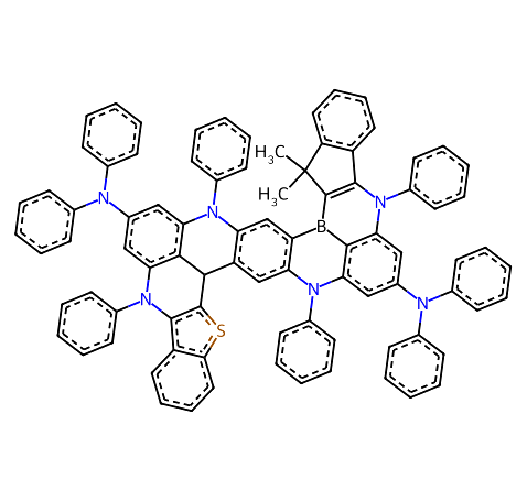 CC1(C)C2=C(c3ccccc31)N(c1ccccc1)c1cc(N(c3ccccc3)c3ccccc3)cc3c1B2c1cc2c(cc1N3c1ccccc1)C1c3sc4ccccc4c3N(c3ccccc3)c3cc(N(c4ccccc4)c4ccccc4)cc(c31)N2c1ccccc1